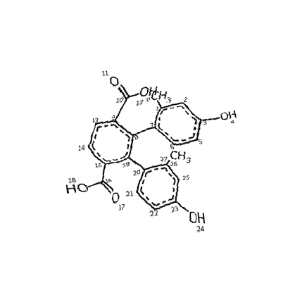 Cc1cc(O)ccc1-c1c(C(=O)O)ccc(C(=O)O)c1-c1ccc(O)cc1C